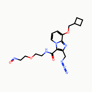 [N-]=[N+]=NCc1nc2c(OCC3CCC3)cccn2c1C(=O)NCCOCCN=O